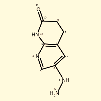 NNc1cnc2c(c1)CCC(=O)N2